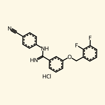 Cl.N#Cc1ccc(NC(=N)c2cccc(OCc3cccc(F)c3F)c2)cc1